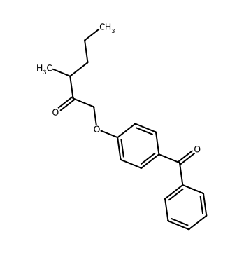 CCCC(C)C(=O)COc1ccc(C(=O)c2ccccc2)cc1